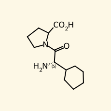 N[C@H](C(=O)N1CCCC1C(=O)O)C1CCCCC1